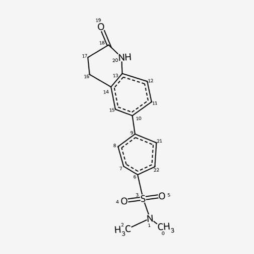 CN(C)S(=O)(=O)c1ccc(-c2ccc3c(c2)CCC(=O)N3)cc1